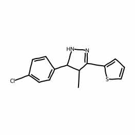 CC1C(c2cccs2)=NNC1c1ccc(Cl)cc1